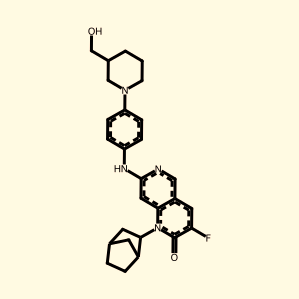 O=c1c(F)cc2cnc(Nc3ccc(N4CCCC(CO)C4)cc3)cc2n1C1CC2CCC1C2